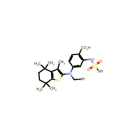 CCCS(=O)(=O)Nc1cc(N(CC(C)C)c2sc3c(c2C)C(C)(C)CCC3(C)C)ccc1C(=O)O